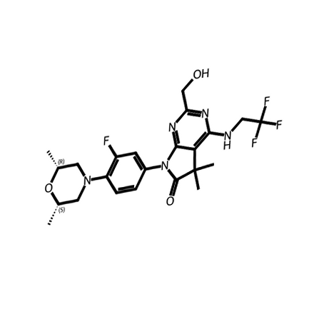 C[C@@H]1CN(c2ccc(N3C(=O)C(C)(C)c4c(NCC(F)(F)F)nc(CO)nc43)cc2F)C[C@H](C)O1